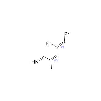 CCC(/C=C(/C)C=N)=C\C(C)C